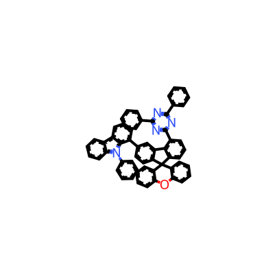 c1ccc(-c2nc(-c3ccccc3)nc(-c3cccc4c3-c3cc(-c5cccc6c7ccccc7n(-c7ccccc7)c56)ccc3C43c4ccccc4Oc4ccccc43)n2)cc1